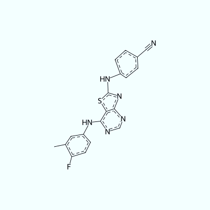 Cc1cc(Nc2ncnc3nc(Nc4ccc(C#N)cc4)sc23)ccc1F